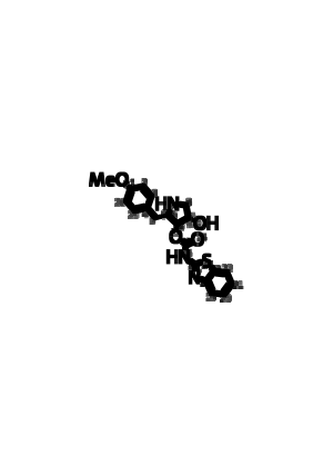 COc1ccc(C[C@H]2NC[C@H](O)[C@H]2OC(=O)Nc2nc3ccccc3s2)cc1